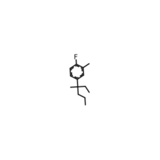 CCCC(C)(CC)c1ccc(F)c(C)c1